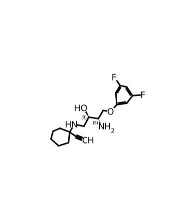 C#CC1(NC[C@@H](O)[C@@H](N)COc2cc(F)cc(F)c2)CCCCC1